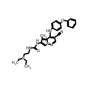 CCN(CC)CCNC(=O)Nc1cn2ncc(C#N)c(Nc3ccc(Oc4ccccc4)cc3)c2c1C